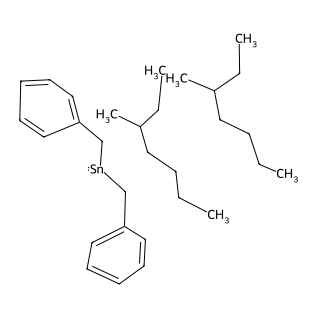 CCCCC(C)CC.CCCCC(C)CC.c1ccc([CH2][Sn][CH2]c2ccccc2)cc1